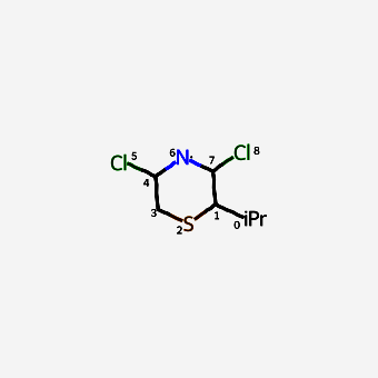 CC(C)C1SCC(Cl)[N]C1Cl